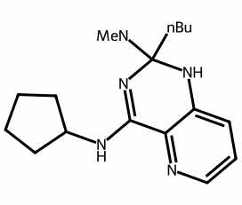 CCCCC1(NC)N=C(NC2CCCC2)c2ncccc2N1